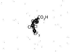 O=C(O)COc1ccc(S(=O)(=O)Cc2cc(Cl)c(OCc3ccc(C(F)(F)F)cc3)c(Cl)c2)c2c1CCC2